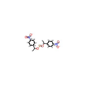 CC(OSOC(C)c1ccc([N+](=O)[O-])cc1)c1ccc([N+](=O)[O-])cc1